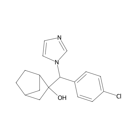 OC1(C(c2ccc(Cl)cc2)n2ccnc2)CC2CCC1C2